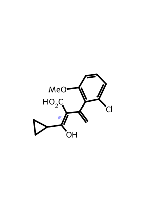 C=C(/C(C(=O)O)=C(\O)C1CC1)c1c(Cl)cccc1OC